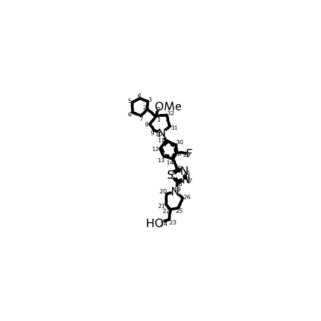 COC1(C2CCCCC2)CCN(c2ccc(-c3nnc(N4CCC(CO)CC4)s3)c(F)c2)CC1